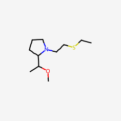 CCSCCN1CCCC1C(C)OC